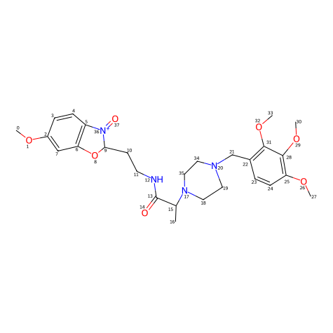 COc1ccc2c(c1)OC(CCNC(=O)C(C)N1CCN(Cc3ccc(OC)c(OC)c3OC)CC1)[N+]2=O